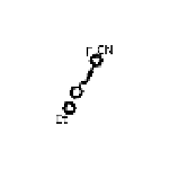 CCc1ccc([C@H]2CC[C@H](/C=C/C#Cc3ccc(C#N)c(F)c3)CC2)cc1